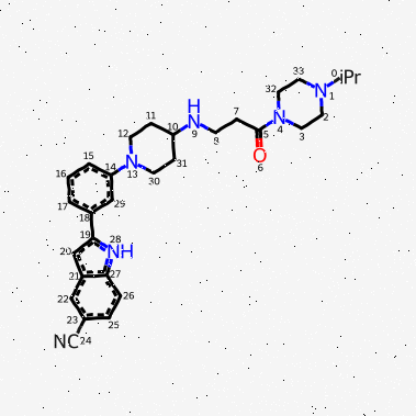 CC(C)N1CCN(C(=O)CCNC2CCN(c3cccc(-c4cc5cc(C#N)ccc5[nH]4)c3)CC2)CC1